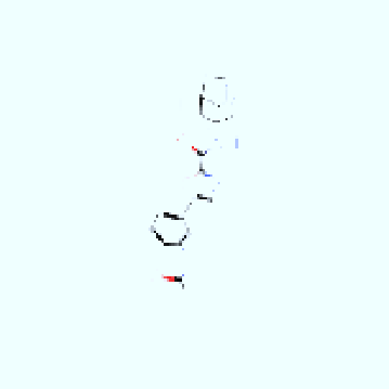 O=C(N[C@@H]1C[C@H]2CCN(C2)C1)c1ncc(-c2cccc(NC(=O)C(F)(F)F)c2)o1